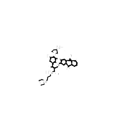 NC1CCN(c2c(F)cc3c(=O)c(C(=O)NCCCN4CCOCC4)cn4c5cc6c(=O)c7ccccc7c(=O)c6cc5oc2c34)C1